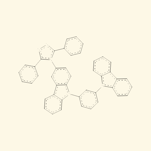 c1ccc(-c2nnc(-c3ccccc3)n2-c2ccc3c(c2)c2ccccc2n3-c2cccc(-n3c4ccccc4c4ccccc43)c2)cc1